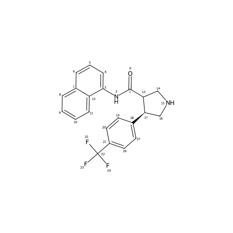 O=C(Nc1cccc2ccccc12)C1CNC[C@H]1c1ccc(C(F)(F)F)cc1